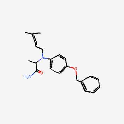 CC(C)=CCN(c1ccc(OCc2ccccc2)cc1)C(C)C(N)=O